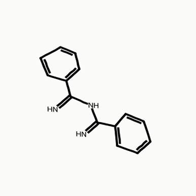 N=C(NC(=N)c1ccccc1)c1ccccc1